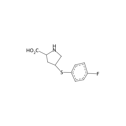 O=C(O)C1CC(Sc2ccc(F)cc2)CN1